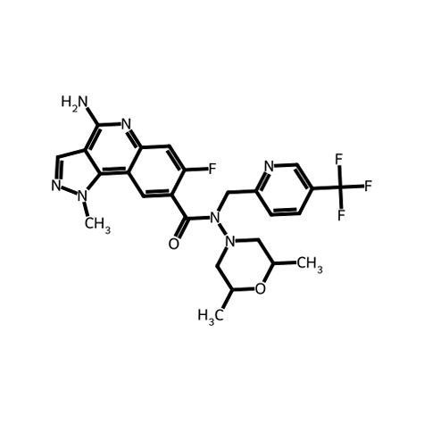 CC1CN(N(Cc2ccc(C(F)(F)F)cn2)C(=O)c2cc3c(cc2F)nc(N)c2cnn(C)c23)CC(C)O1